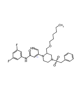 CCCCCCOCC1CN(S(=O)(=O)Cc2ccccc2)CCN1/C(C=N)=C/C(=O)Nc1cc(F)cc(F)c1